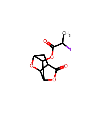 CC(I)C(=O)OC1C2CC3C(=O)OC1C3O2